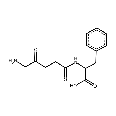 NCC(=O)CCC(=O)NC(Cc1ccccc1)C(=O)O